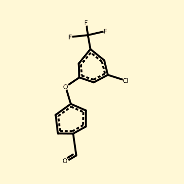 O=Cc1ccc(Oc2cc(Cl)cc(C(F)(F)F)c2)cc1